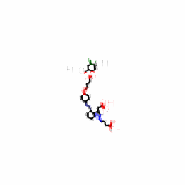 CC(=O)c1cc(Cl)c(C)cc1OCCCCOc1ccc(/C=C/c2cccc3c2c(CC(=O)O)cn3CCCC(=O)O)cc1